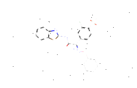 CS(=O)(=O)c1ccc(/C(=N\OC2CCCCC2)C(=O)Nc2nc3ccccc3s2)cc1Cl